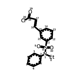 CCN(c1ccccc1)S(=O)(=O)c1cccc(/C=C/C(=O)Cl)c1